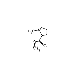 COC(=O)C1CCCN1C